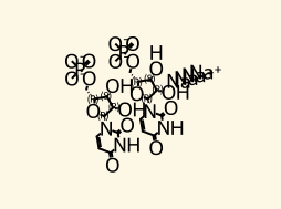 O=c1ccn([C@@H]2O[C@H](COP(=O)([O-])[O-])[C@@H](O)[C@H]2O)c(=O)[nH]1.O=c1ccn([C@@H]2O[C@H](COP(=O)([O-])[O-])[C@@H](O)[C@H]2O)c(=O)[nH]1.[Na+].[Na+].[Na+].[Na+]